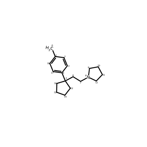 Cc1ccc(C2(CCN3CCCC3)CCCC2)cc1